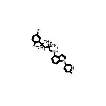 CC(C)(CC(O)(CNc1cccc2c1ccn2-c1ccc(F)nc1)C(F)(F)F)c1cc(F)ccc1O